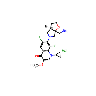 Cl.NCC12CN(c3c(F)cc4c(=O)c(OC(=O)O)cn(C5CC5)c4c3F)C[C@H]1CCO2